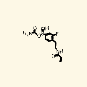 C=CC(=O)NCCc1ccc(B(O)OC(N)=O)cc1F